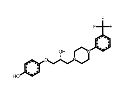 Oc1ccc(OC[C@H](O)CN2CCN(c3cccc(C(F)(F)F)c3)CC2)cc1